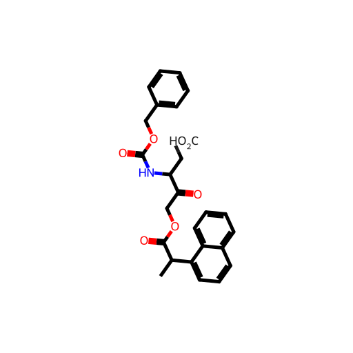 CC(C(=O)OCC(=O)C(CC(=O)O)NC(=O)OCc1ccccc1)c1cccc2ccccc12